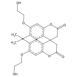 CCc1cc2c(cc1OCCO)OC(=O)CC21CC(=O)Oc2cc(OCCO)c(CC)cc21